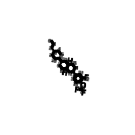 CCC[C@H]1CC[C@H]([C@@H]2CC[C@@H]3C[C@H](c4ccc(OC(F)F)c(F)c4)CC[C@@H]3C2)CC1